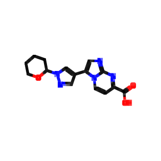 O=C(O)c1ccn2c(-c3cnn(C4CCCCO4)c3)cnc2n1